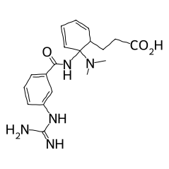 CN(C)C1(NC(=O)c2cccc(NC(=N)N)c2)C=CC=CC1CCC(=O)O